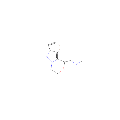 CNCC1OCCN2NC3C=CSC3=C12